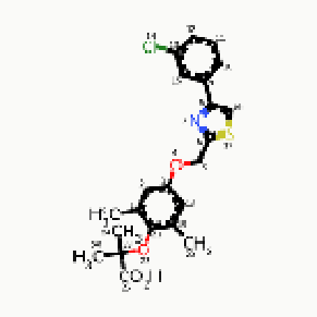 Cc1cc(OCc2nc(-c3cccc(Cl)c3)cs2)cc(C)c1OC(C)(C)C(=O)O